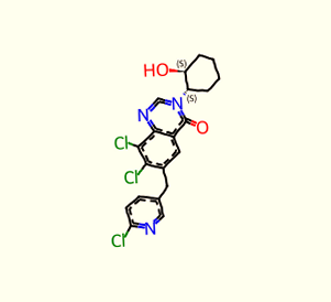 O=c1c2cc(Cc3ccc(Cl)nc3)c(Cl)c(Cl)c2ncn1[C@H]1CCCC[C@@H]1O